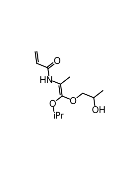 C=CC(=O)NC(C)=C(OCC(C)O)OC(C)C